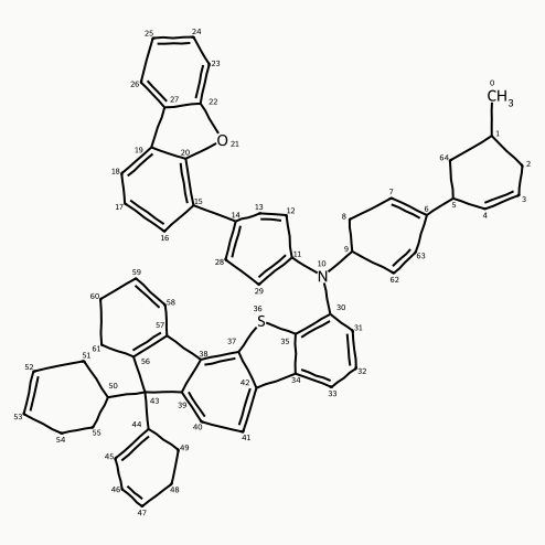 CC1CC=CC(C2=CCC(N(c3ccc(-c4cccc5c4oc4ccccc45)cc3)c3cccc4c3sc3c5c(ccc34)C(C3=CC=CCC3)(C3CC=CCC3)C3=C5C=CCC3)C=C2)C1